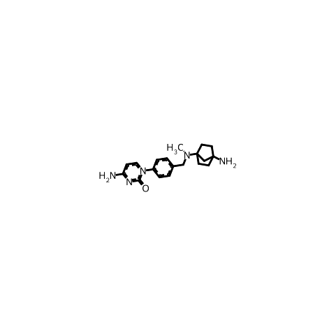 CN(Cc1ccc(-n2ccc(N)nc2=O)cc1)C12CCC(N)(CC1)C2